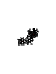 COc1ccc(CN(Cc2ccc(OC)cc2)c2c(F)c(C)c(I)c(-c3nc4c5c(nc(SC)nc5c3F)N3C[C@H]5CC[C@@H]([C@H]3[C@H](C)O4)N5C(=O)OC(C)(C)C)c2F)cc1